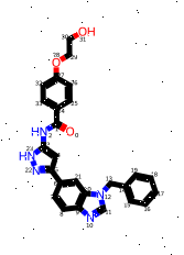 O=C(Nc1cc(-c2ccc3ncn(Cc4ccccc4)c3c2)n[nH]1)c1ccc(OCCO)cc1